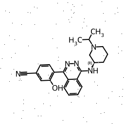 CC(C)N1CCC[C@@H](Nc2nnc(-c3ccc(C#N)cc3O)c3ccccc23)C1